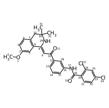 COc1ccc2c(c1)C(=CC(=O)c1cccc(NC(=O)c3ccc(Cl)cc3Cl)c1)NC(C)(C)C2